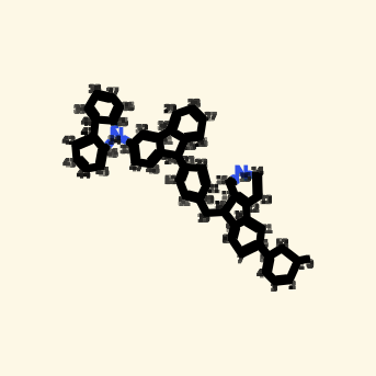 CC1C=CC=C(c2ccc3c(c2)-c2ccncc2C3Cc2ccc(C3c4ccccc4-c4cc(-n5c6ccccc6c6ccccc65)ccc43)cc2)C1